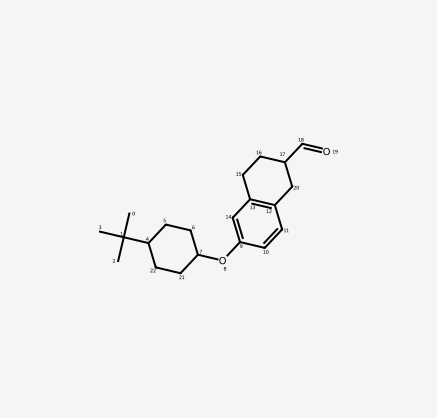 CC(C)(C)C1CCC(Oc2ccc3c(c2)CCC(C=O)C3)CC1